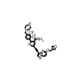 CN1CCN(Cc2ccc(-c3ncc(C#Cc4cnc5ccc(OCC6COC6)nn45)cc3C(N)=O)cc2C(F)(F)F)CC1